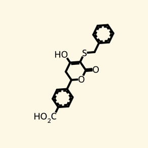 O=C1OC(c2ccc(C(=O)O)cc2)CC(O)=C1SCc1ccccc1